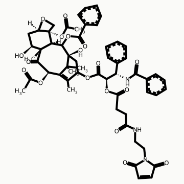 CC(=O)O[C@H]1C(=O)[C@@]2(C)[C@H](C(OC(=O)c3ccccc3)[C@]3(O)CC(OC(=O)[C@H](OC(=O)CCC(=O)NCCN4C(=O)C=CC4=O)[C@@H](NC(=O)c4ccccc4)c4ccccc4)C(C)=C1C3(C)C)[C@]1(OC(C)=O)CO[C@@H]1C[C@@H]2O